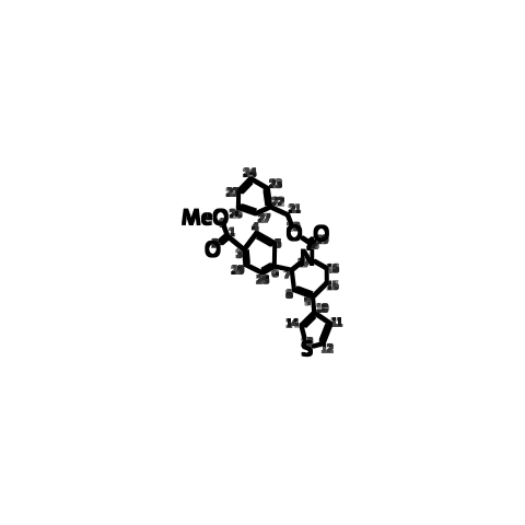 COC(=O)c1ccc(C2C=C(c3ccsc3)CCN2C(=O)OCc2ccccc2)cc1